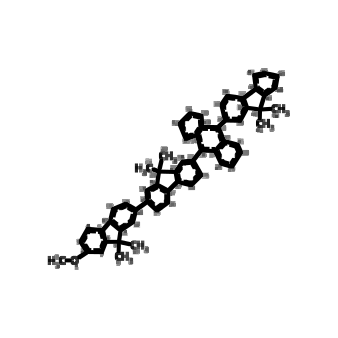 COc1ccc2c(c1)C(C)(C)c1cc(-c3ccc4c(c3)C(C)(C)c3cc(-c5c6ccccc6c(-c6ccc7c(c6)C(C)(C)c6ccccc6-7)c6ccccc56)ccc3-4)ccc1-2